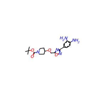 CC(C)(C)OC(=O)N1CCC(OCc2nc(-c3ccc(N)c(N)c3)no2)CC1